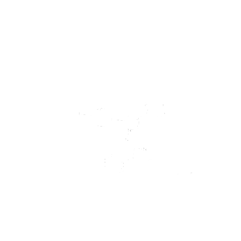 Fc1ccc(C2=NC(=Nn3cc(-c4ccccc4)cc3-c3ccc(F)cc3)C(c3ccccc3)=C2)cc1